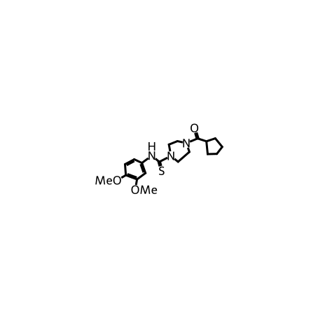 COc1ccc(NC(=S)N2CCN(C(=O)C3CCCC3)CC2)cc1OC